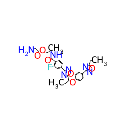 CCc1nc(-c2ccc(OC(CC)c3nc(-c4ccc(C(=O)N[C@H](C)COC(=O)CN)c(F)c4)no3)cc2)no1